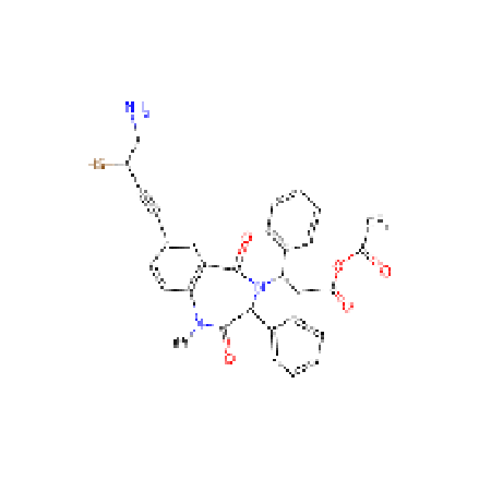 CC(C)N1C(=O)C(c2ccccc2)N(C(CC(=O)OC(=O)C(F)(F)F)c2ccccc2)C(=O)c2cc(C#CC(S)CN)ccc21